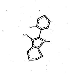 Cc1ccccc1-c1n(C(C)C)c2ccccc2[n+]1C